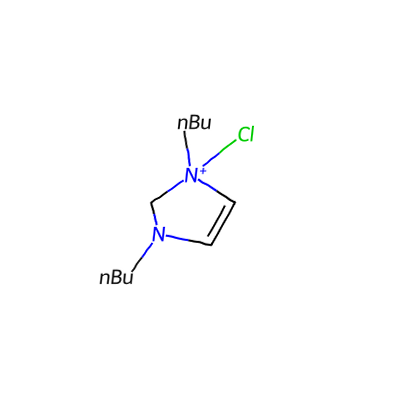 CCCCN1C=C[N+](Cl)(CCCC)C1